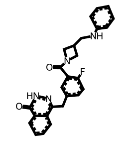 O=C(c1cc(Cc2n[nH]c(=O)c3ccccc23)ccc1F)N1CC(CNc2ccccc2)C1